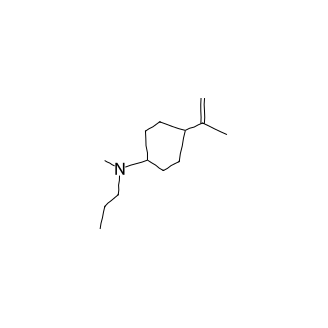 C=C(C)C1CCC(N(C)CCC)CC1